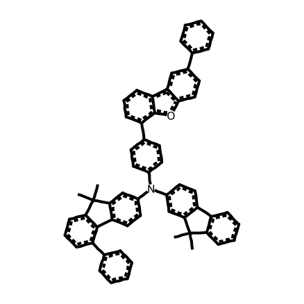 CC1(C)c2ccccc2-c2ccc(N(c3ccc(-c4cccc5c4oc4ccc(-c6ccccc6)cc45)cc3)c3ccc4c(c3)C(C)(C)c3cccc(-c5ccccc5)c3-4)cc21